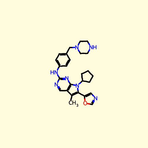 Cc1c(-c2cnco2)n(C2CCCC2)c2nc(Nc3ccc(CN4CCNCC4)cc3)ncc12